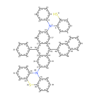 Sc1ccccc1N(c1ccccc1)c1ccc2c(-c3ccccc3)c3cc(N4c5ccccc5Sc5ccccc54)ccc3c(-c3ccc4ccccc4c3)c2c1